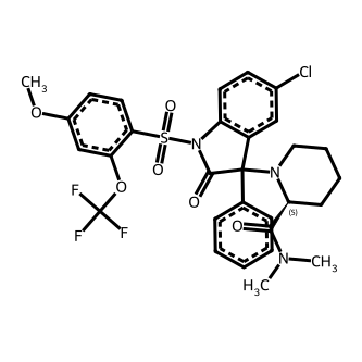 COc1ccc(S(=O)(=O)N2C(=O)C(c3ccccc3)(N3CCCC[C@H]3C(=O)N(C)C)c3cc(Cl)ccc32)c(OC(F)(F)F)c1